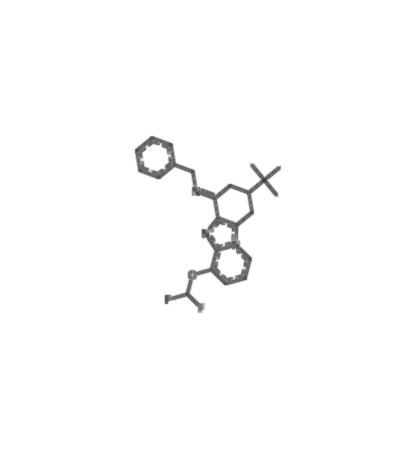 CC(C)(C)C1CC(=NCc2ccccc2)c2nc3c(OC(F)F)cccn3c2C1